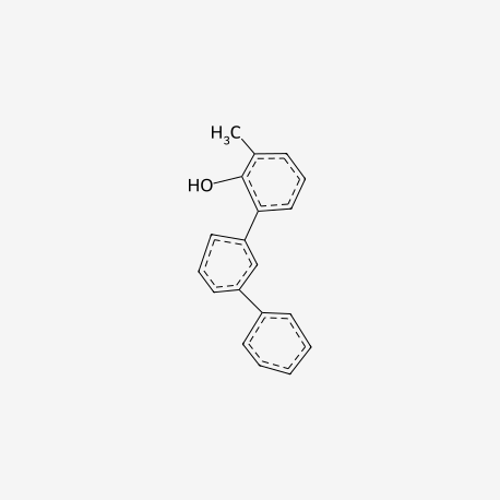 Cc1cccc(-c2cccc(-c3ccccc3)c2)c1O